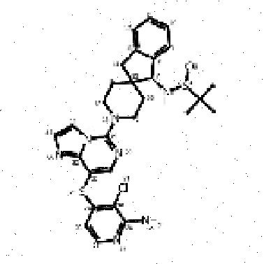 CC(C)(C)[S+]([O-])N[C@@H]1c2ccccc2CC12CCN(c1ncc(Sc3ccnc(N)c3Cl)c3nccn13)CC2